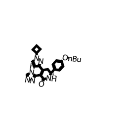 CCCCOc1ccc([C@]2(C)CC(c3ccn(C4CCC4)n3)=C(c3nnc[nH]3)C(=O)N2)cc1